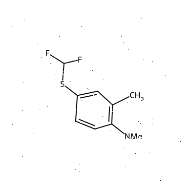 CNc1ccc(SC(F)F)cc1C